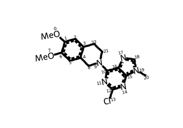 COc1cc2c(cc1OC)CN(c1nc(Cl)nc3c1ncn3C)CC2